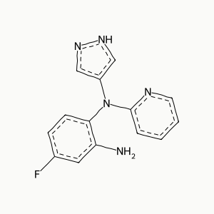 Nc1cc(F)ccc1N(c1cn[nH]c1)c1ccccn1